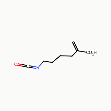 C=C(CCCCN=C=O)C(=O)O